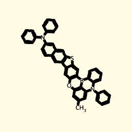 Cc1cc2c3c(c1)N(c1ccccc1)c1ccccc1B3c1cc3sc4cc5cc(N(c6ccccc6)c6ccccc6)ccc5cc4c3cc1O2